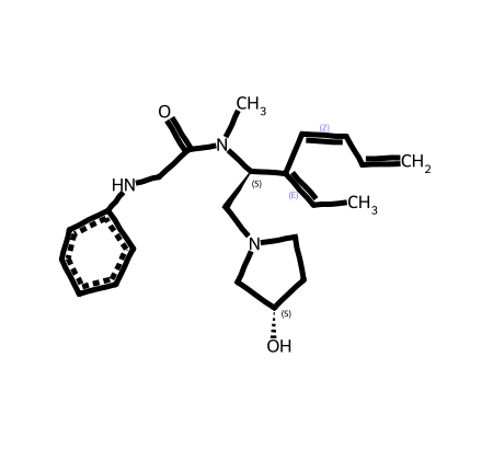 C=C/C=C\C(=C/C)[C@@H](CN1CC[C@H](O)C1)N(C)C(=O)CNc1ccccc1